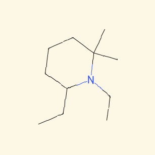 CCC1CCCC(C)(C)N1CC